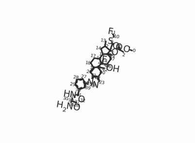 COCC(=O)OC1(C(=O)SCF)C(C)CC2C3CCC4=Cc5c(cnn5-c5cccc(C(=O)N[C@](C)(N)C=O)c5)CC4(C)C3(F)C(O)CC21C